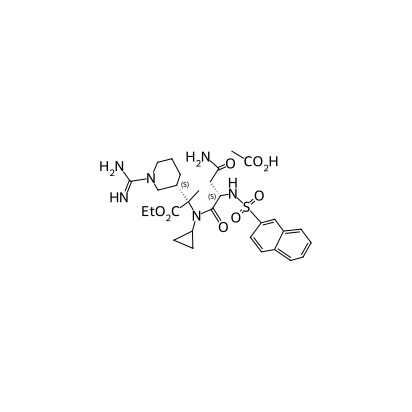 CC(=O)O.CCOC(=O)C(C)([C@H]1CCCN(C(=N)N)C1)N(C(=O)[C@H](CC(N)=O)NS(=O)(=O)c1ccc2ccccc2c1)C1CC1